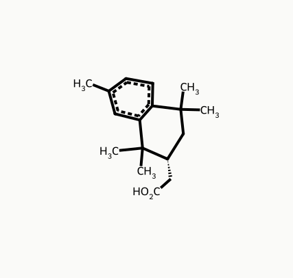 Cc1ccc2c(c1)C(C)(C)[C@@H](CC(=O)O)CC2(C)C